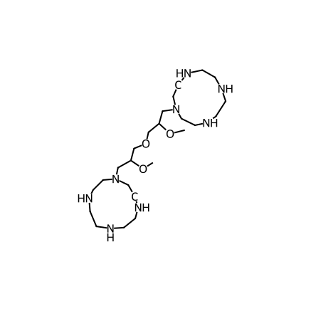 COC(COCC(CN1CCNCCNCCNCC1)OC)CN1CCNCCNCCNCC1